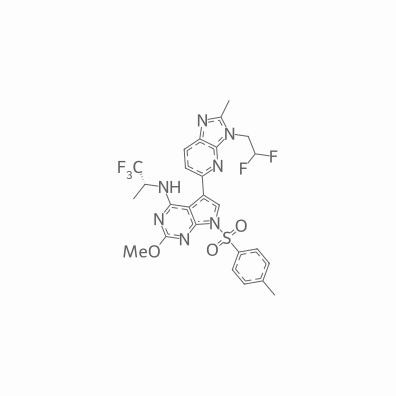 COc1nc(N[C@H](C)C(F)(F)F)c2c(-c3ccc4nc(C)n(CC(F)F)c4n3)cn(S(=O)(=O)c3ccc(C)cc3)c2n1